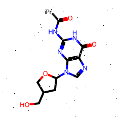 CC(C)C(=O)Nc1nc2c(ncn2C2CC(CO)CO2)c(=O)[nH]1